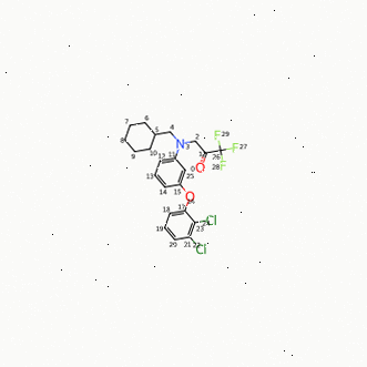 O=C(CN(CC1CCCCC1)c1cccc(Oc2cccc(Cl)c2Cl)c1)C(F)(F)F